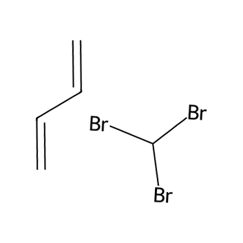 BrC(Br)Br.C=CC=C